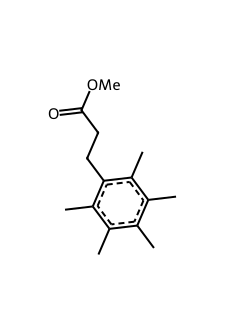 COC(=O)CCc1c(C)c(C)c(C)c(C)c1C